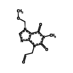 COCn1cnc2c1c(=O)n(C)c(=O)n2CC=O